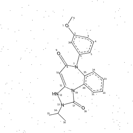 COc1cccc(N2C(=O)C=C3NN(C(C)C)C(=O)N3c3ccccc32)c1